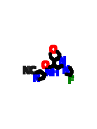 N#Cc1cc(NC(=O)c2cc(N3CC[C@H](F)C3)nc3c2CCOCC3)ccn1